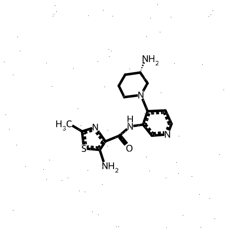 Cc1nc(C(=O)Nc2cnccc2N2CCC[C@H](N)C2)c(N)s1